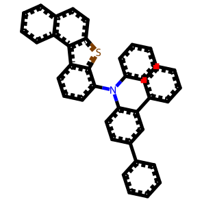 c1ccc(-c2ccc(N(c3ccccc3)c3cccc4c3sc3ccc5ccccc5c34)c(-c3ccccc3)c2)cc1